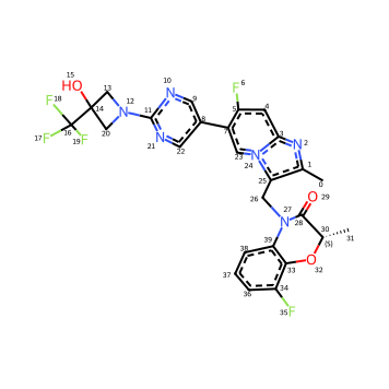 Cc1nc2cc(F)c(-c3cnc(N4CC(O)(C(F)(F)F)C4)nc3)cn2c1CN1C(=O)[C@H](C)Oc2c(F)cccc21